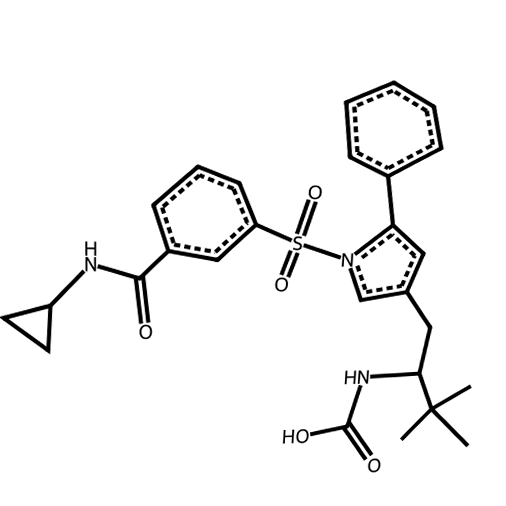 CC(C)(C)C(Cc1cc(-c2ccccc2)n(S(=O)(=O)c2cccc(C(=O)NC3CC3)c2)c1)NC(=O)O